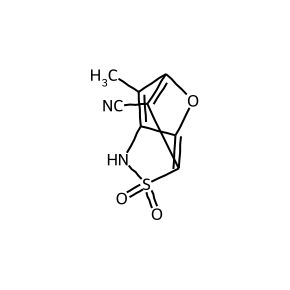 Cc1c2c3oc1c(C#N)c3S(=O)(=O)N2